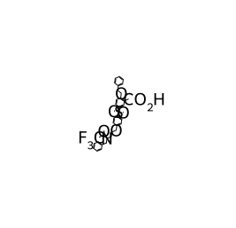 O=C(O)c1cc(S(=O)(=O)c2ccc(OCCN(Cc3ccccc3)C(=O)C(F)(F)F)cc2)ccc1OCc1ccccc1